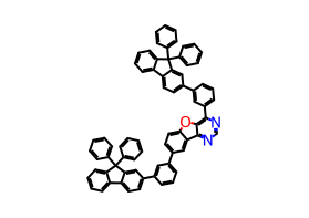 c1ccc(C2(c3ccccc3)c3ccccc3-c3ccc(-c4cccc(-c5ccc6oc7c(-c8cccc(-c9ccc%10c(c9)C(c9ccccc9)(c9ccccc9)c9ccccc9-%10)c8)ncnc7c6c5)c4)cc32)cc1